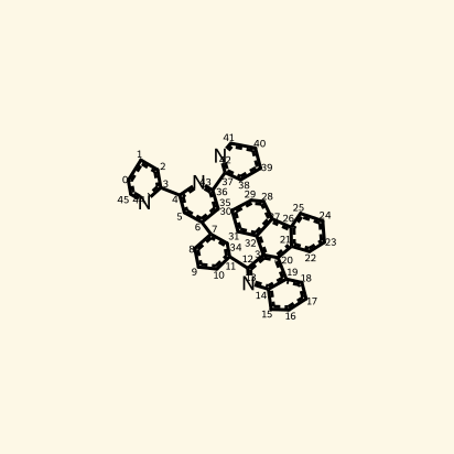 c1ccc(-c2cc(-c3cccc(-c4nc5ccccc5c5c6ccccc6c6ccccc6c45)c3)cc(-c3ccccn3)n2)nc1